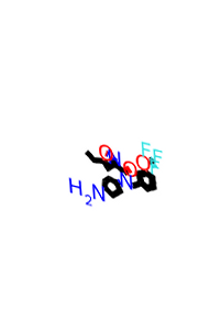 CCc1cc(C(=O)N(Cc2cccc(OC(F)(F)F)c2)C2CCC(N)CC2)no1